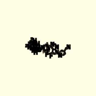 [2H]C([2H])([2H])C(OC(=O)N1C[C@@H](C)N(c2ncnc3c2c(C(F)(F)F)cn3-c2cc(C#N)ccn2)C[C@@H]1C)(C([2H])([2H])[2H])C([2H])([2H])[2H]